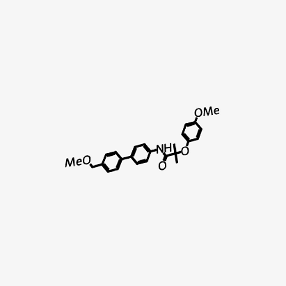 COCc1ccc(-c2ccc(NC(=O)C(C)(C)Oc3ccc(OC)cc3)cc2)cc1